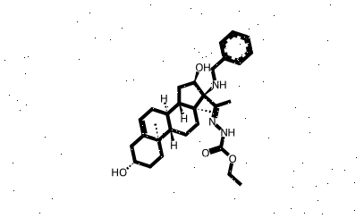 CCOC(=O)NN=C(C)[C@@]1(NCc2ccccc2)[C@H](O)C[C@H]2[C@@H]3CC=C4C[C@@H](O)CC[C@]4(C)[C@H]3CC[C@@]21C